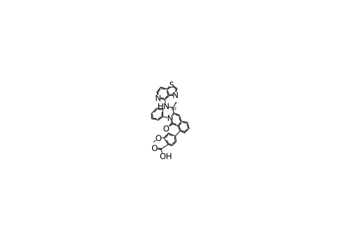 COc1cc(-c2cccc3cc([C@H](C)Nc4nccc5scnc45)n(-c4ccccc4)c(=O)c23)ccc1C(=O)O